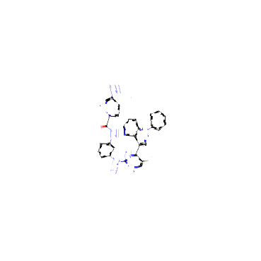 Nc1ccc(C(=O)Nc2cccc(Nc3ncc(Cl)c(-c4cn(-c5ccccc5)c5ccccc45)n3)c2)nc1